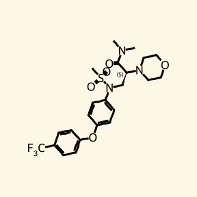 CN(C)C(=O)[C@H](CN(c1ccc(Oc2ccc(C(F)(F)F)cc2)cc1)S(C)(=O)=O)N1CCOCC1